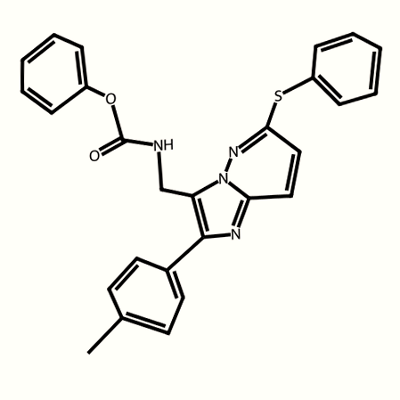 Cc1ccc(-c2nc3ccc(Sc4ccccc4)nn3c2CNC(=O)Oc2ccccc2)cc1